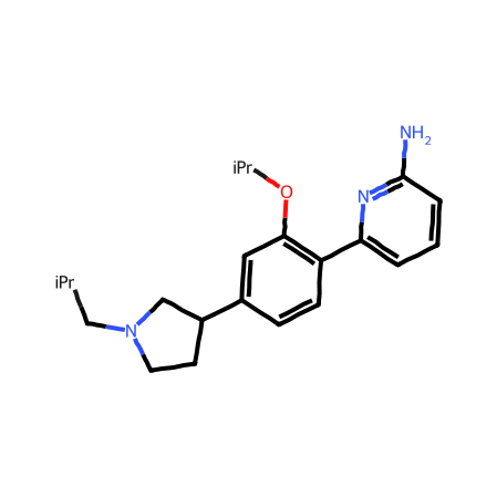 CC(C)CN1CCC(c2ccc(-c3cccc(N)n3)c(OC(C)C)c2)C1